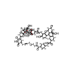 O=C(NCCOCC#CCc1cn([C@H]2CC[C@@H](COP(OO)(OOO)(P(=O)=O)P(=O)=O)O2)c(=O)[nH]c1=O)c1ccc(CNC(=O)c2ccc(C(=O)O)c(-c3c4ccc(=O)cc-4oc4c(CNC(=O)c5ccc(CNC(=O)C(F)(F)F)cc5)c(O)ccc34)c2)cc1